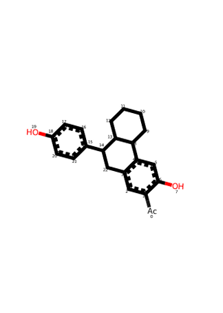 CC(=O)c1cc2c(cc1O)C1CCCCC1C(c1ccc(O)cc1)C2